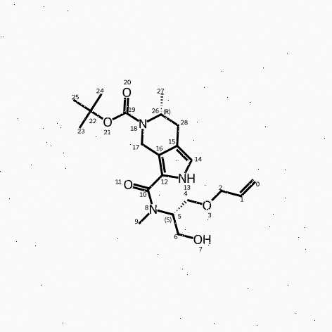 C=CCOC[C@H](CO)N(C)C(=O)c1[nH]cc2c1CN(C(=O)OC(C)(C)C)[C@H](C)C2